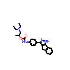 CCN(CC)CC(C)OC(=O)Nc1ccc(-c2n[nH]c3c2Cc2ccccc2-3)cc1